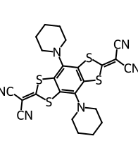 N#CC(C#N)=C1Sc2c(c(N3CCCCC3)c3c(c2N2CCCCC2)SC(=C(C#N)C#N)S3)S1